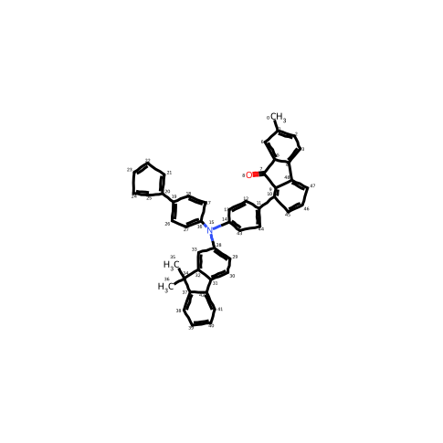 Cc1ccc2c(c1)C(=O)c1c(-c3ccc(N(c4ccc(-c5ccccc5)cc4)c4ccc5c(c4)C(C)(C)c4ccccc4-5)cc3)cccc1-2